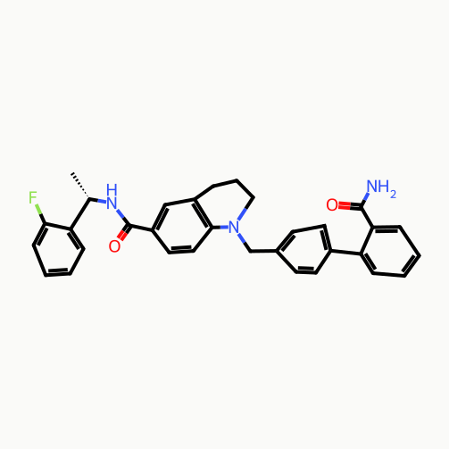 C[C@H](NC(=O)c1ccc2c(c1)CCCN2Cc1ccc(-c2ccccc2C(N)=O)cc1)c1ccccc1F